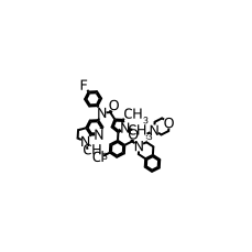 Cc1c(C(=O)N(c2ccc(F)cc2)c2cnc3c(c2)CCN3C)cc(-c2cc(Cl)ccc2C(=O)N2Cc3ccccc3C[C@H]2CN2CCOCC2)n1C